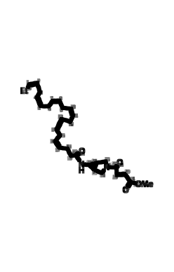 CC/C=C\C/C=C\C/C=C\C/C=C\C/C=C\C/C=C\CCC(=O)NC1C2CN(C(=O)/C=C/C(=O)OC)CC21